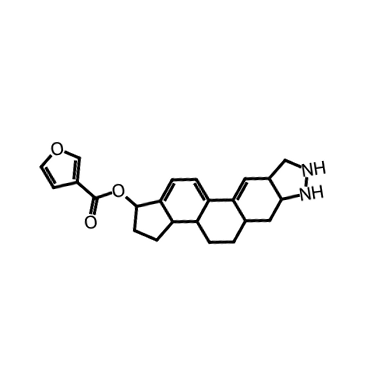 O=C(OC1CCC2C1=CC=C1C3=CC4CNNC4CC3CCC12)c1ccoc1